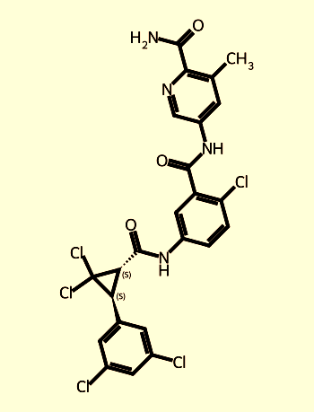 Cc1cc(NC(=O)c2cc(NC(=O)[C@@H]3[C@@H](c4cc(Cl)cc(Cl)c4)C3(Cl)Cl)ccc2Cl)cnc1C(N)=O